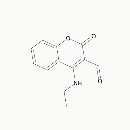 CCNc1c(C=O)c(=O)oc2ccccc12